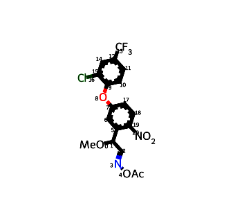 COC(C=NOC(C)=O)c1cc(Oc2ccc(C(F)(F)F)cc2Cl)ccc1[N+](=O)[O-]